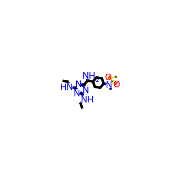 CCNc1nc(NCC)nc(C(N)C2CCC(N(C)S(C)(=O)=O)CC2)n1